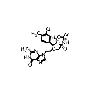 CC(=O)[C@H](C)NP(=O)(COCCn1cnc2c(=O)[nH]c(N)nc21)OCc1ccc(C)c(Cl)c1